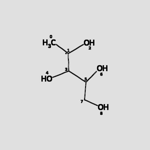 C[C](O)C(O)C(O)CO